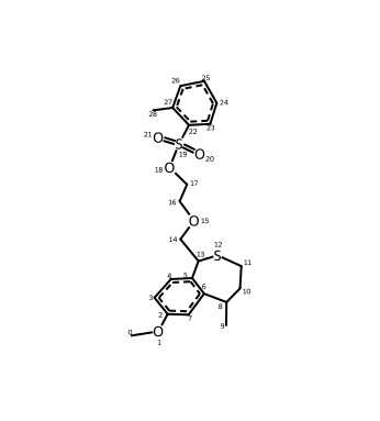 COc1ccc2c(c1)C(C)CCSC2COCCOS(=O)(=O)c1ccccc1C